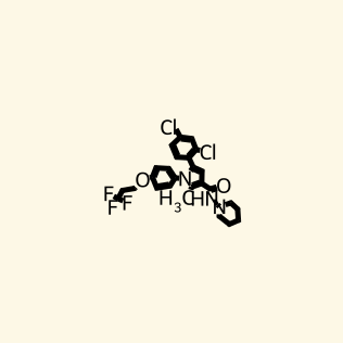 Cc1c(C(=O)NN2CCCCC2)cc(-c2ccc(Cl)cc2Cl)n1-c1ccc(OCCC(F)(F)F)cc1